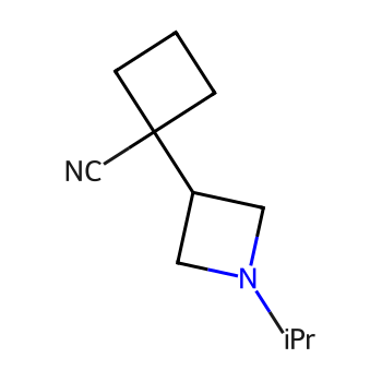 CC(C)N1CC(C2(C#N)CCC2)C1